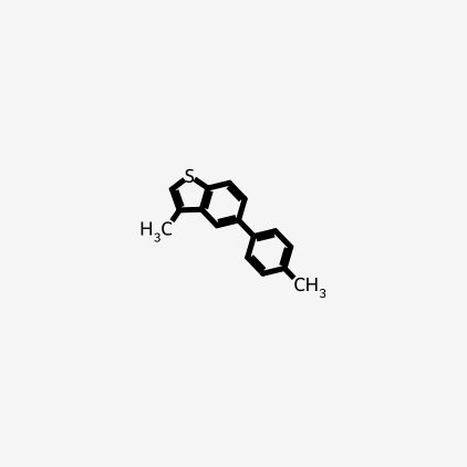 Cc1ccc(-c2ccc3scc(C)c3c2)cc1